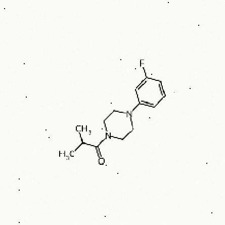 CC(C)C(=O)N1CCN(c2cccc(F)c2)CC1